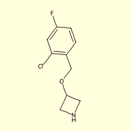 Fc1ccc(COC2CNC2)c(Cl)c1